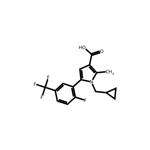 Cc1c(C(=O)O)cc(-c2cc(C(F)(F)F)ccc2F)n1CC1CC1